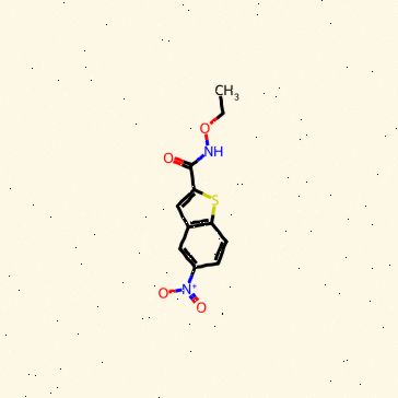 CCONC(=O)c1cc2cc([N+](=O)[O-])ccc2s1